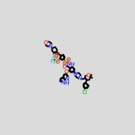 CC1(C)CC(c2ccc(Cl)cc2)=C(CN2CCN(c3ccc(C(=O)NS(=O)(=O)c4cc[c]([Au][C@H]5CC[C@H](N6CCOCC6)CC5)c(S(=O)(=O)C(F)(F)F)c4)c(Oc4cnc5[nH]ccc5c4)c3)CC2)CO1